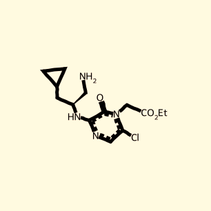 CCOC(=O)Cn1c(Cl)cnc(N[C@H](CN)CC2CC2)c1=O